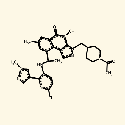 CC(=O)N1CCC(Cn2ncc3c4c(C(C)Nc5ccc(Cl)nc5-c5cnn(C)c5)cc(C)cc4c(=O)n(C)c32)CC1